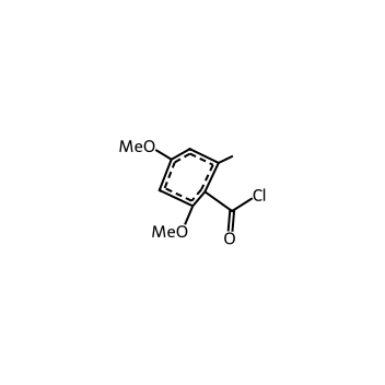 COc1cc(C)c(C(=O)Cl)c(OC)c1